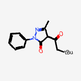 CC1=NN(c2ccccc2)C(=O)C1C(=O)CC(C)(C)C